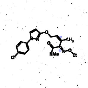 CCO/N=C(C(=O)NC)\C(C)=C/COc1ccn(-c2ccc(Cl)cc2)n1